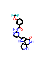 O=C(Nc1nccc(-c2cc3c([nH]2)C2(CCCNC2)CNC3=O)n1)c1cccc(OC(F)(F)F)c1